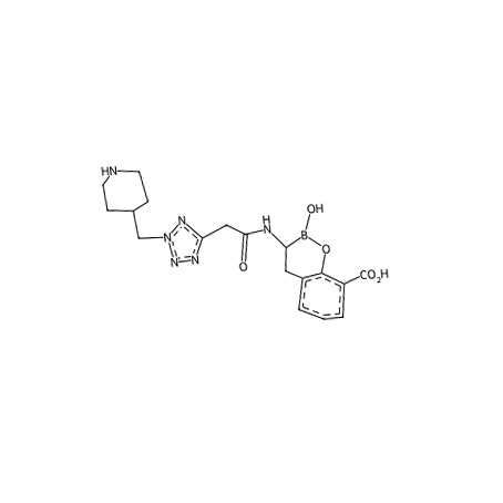 O=C(Cc1nnn(CC2CCNCC2)n1)NC1Cc2cccc(C(=O)O)c2OB1O